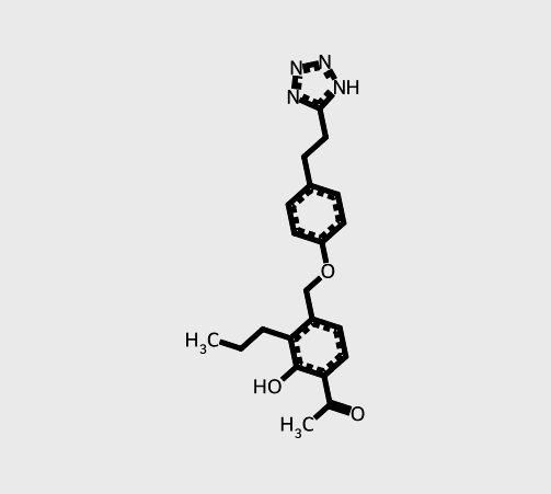 CCCc1c(COc2ccc(CCc3nnn[nH]3)cc2)ccc(C(C)=O)c1O